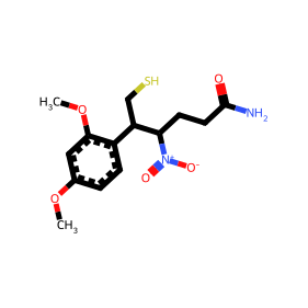 COc1ccc(C(CS)C(CCC(N)=O)[N+](=O)[O-])c(OC)c1